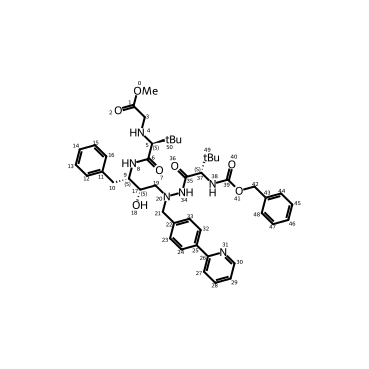 COC(=O)CN[C@H](C(=O)N[C@@H](Cc1ccccc1)[C@@H](O)CN(Cc1ccc(-c2ccccn2)cc1)NC(=O)[C@@H](NC(=O)OCc1ccccc1)C(C)(C)C)C(C)(C)C